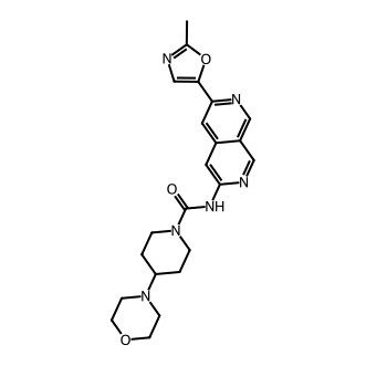 Cc1ncc(-c2cc3cc(NC(=O)N4CCC(N5CCOCC5)CC4)ncc3cn2)o1